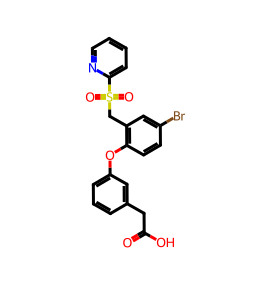 O=C(O)Cc1cccc(Oc2ccc(Br)cc2CS(=O)(=O)c2ccccn2)c1